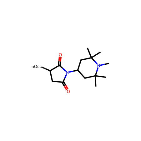 CCCCCCCCC1CC(=O)N(C2CC(C)(C)N(C)C(C)(C)C2)C1=O